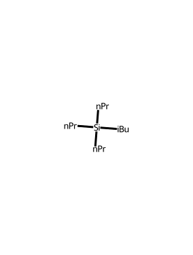 CCC[Si](CCC)(CCC)C(C)CC